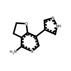 Nc1ncc(-c2cn[nH]c2)c2c1CCO2